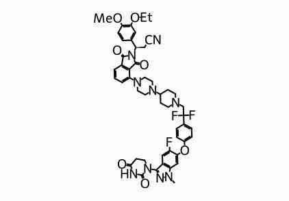 CCOc1cc([C@@H](CC#N)N2C(=O)c3cccc(N4CCN(C5CCN(CC(F)(F)c6ccc(Oc7cc8c(cc7F)c(N7CCC(=O)NC7=O)nn8C)cc6)CC5)CC4)c3C2=O)ccc1OC